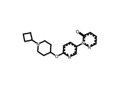 O=c1cccnn1-c1ccc(OC2CCN(C3CCC3)CC2)nc1